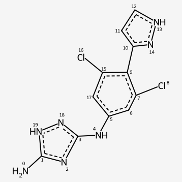 Nc1nc(Nc2cc(Cl)c(-c3cc[nH]n3)c(Cl)c2)n[nH]1